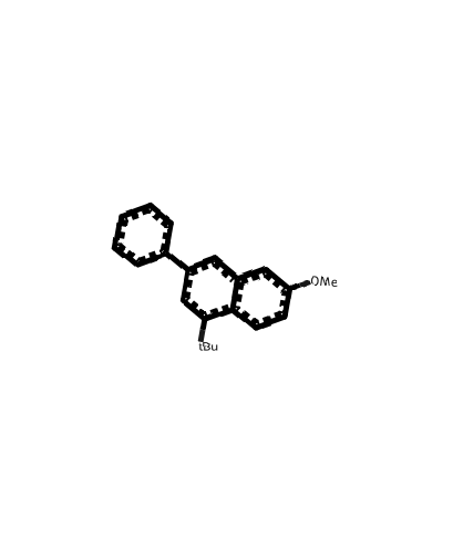 COc1ccc2c(C(C)(C)C)cc(-c3ccccc3)cc2c1